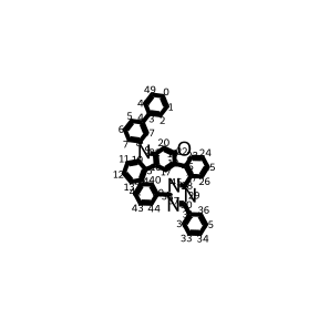 c1ccc(-c2cccc(-n3c4ccccc4c4cc5c(cc43)oc3cccc(-c4nc(-c6ccccc6)nc(-c6ccccc6)n4)c35)c2)cc1